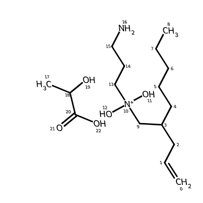 C=CCC(CCCCC)C[N+](O)(O)CCCN.CC(O)C(=O)O